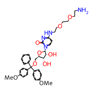 COc1ccc(C(OC[C@H]2O[C@@H](n3ccc(NCCOCCOCCN)nc3=O)[C@H](O)[C@@H]2O)(c2ccccc2)c2ccc(OC)cc2)cc1